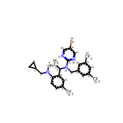 CCCN(CC1CC1)c1ccc(C(F)(F)F)cc1C(C)N(Cc1cc(C(F)(F)F)cc(C(F)(F)F)c1)c1ncc(Br)cn1